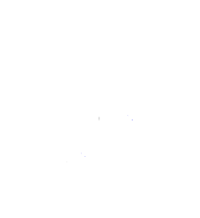 NCc1cc(NC(=O)C(F)(F)F)ccc1OCc1ccccc1